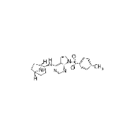 Cc1ccc(S(=O)(=O)n2ccc3c(N[C@H]4CC[C@@H]5CC[C@H]4N5)ncnc32)cc1